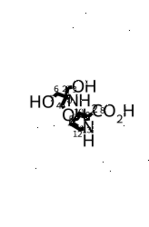 NC(CO)(CO)CO.O=C(O)c1ccc[nH]1